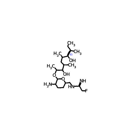 CC/C(C)=C(/O)C(C)CC(C)C(O)C(C)OC1OC(CNC(=N)CF)CCC1N